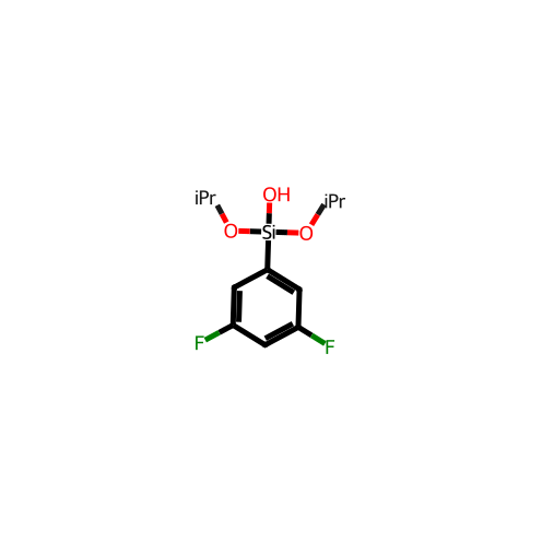 CC(C)O[Si](O)(OC(C)C)c1cc(F)cc(F)c1